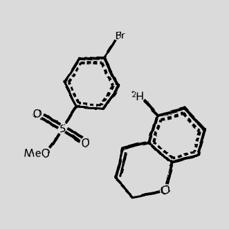 COS(=O)(=O)c1ccc(Br)cc1.[2H]c1cccc2c1C=CCO2